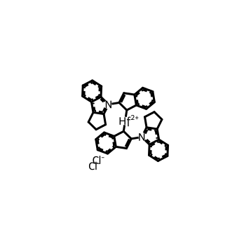 C1=C(n2c3c(c4ccccc42)CCC3)[CH]([Hf+2][CH]2C(n3c4c(c5ccccc53)CCC4)=Cc3ccccc32)c2ccccc21.[Cl-].[Cl-]